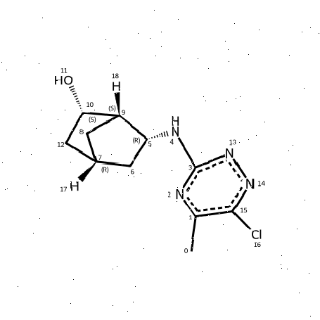 Cc1nc(N[C@@H]2C[C@H]3C[C@@H]2[C@@H](O)C3)nnc1Cl